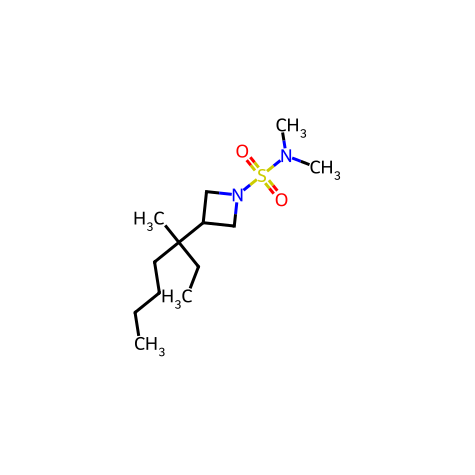 CCCCC(C)(CC)C1CN(S(=O)(=O)N(C)C)C1